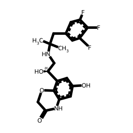 CC(C)(Cc1cc(F)c(F)c(F)c1)NC[C@H](O)c1cc(O)cc2c1OCC(=O)N2